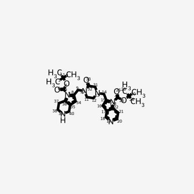 CC(C)(C)OC(=O)n1c(CN2CCN(Cc3cc4cnccc4n3C(=O)OC(C)(C)C)CC2=O)cc2c1CCNC2